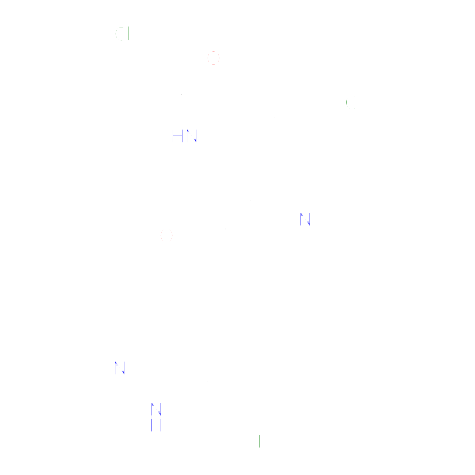 O=C(CCl)Nc1cc(Cl)cnc1C(=O)c1ccc(F)c2[nH]ncc12